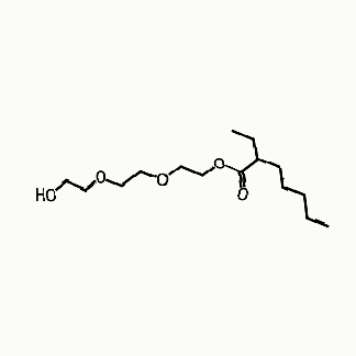 CCCCCC(CC)C(=O)OCCOCCOCCO